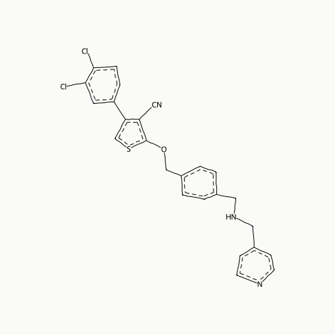 N#Cc1c(-c2ccc(Cl)c(Cl)c2)csc1OCc1ccc(CNCc2ccncc2)cc1